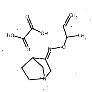 C=CC(C)ON=C1CN2CCC1C2.O=C(O)C(=O)O